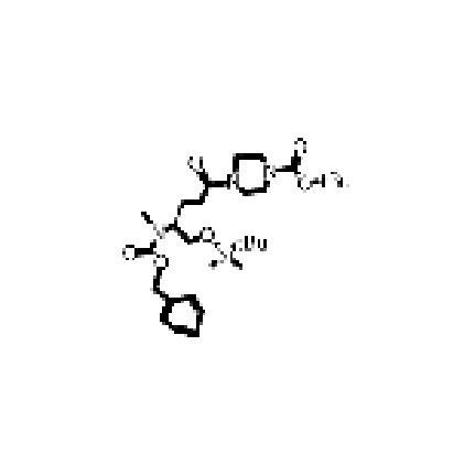 CN(C(=O)OCc1ccccc1)[C@@H](CCC(=O)N1CCN(C(=O)OC(C)(C)C)CC1)CO[Si](C)(C)C(C)(C)C